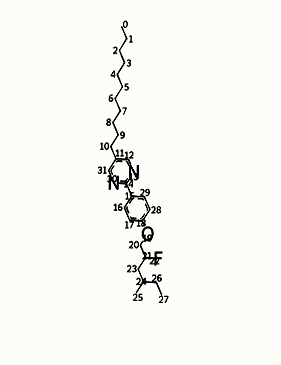 CCCCCCCCCCCc1cnc(-c2ccc(OCC(F)CC(C)CC)cc2)nc1